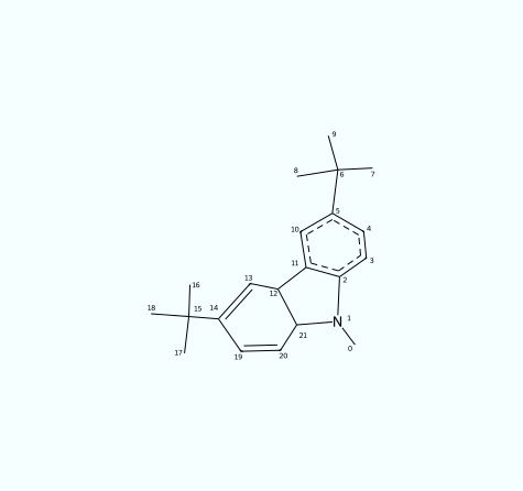 CN1c2ccc(C(C)(C)C)cc2C2C=C(C(C)(C)C)C=CC21